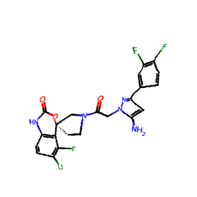 Nc1cc(-c2ccc(F)c(F)c2)nn1CC(=O)N1CC[C@@]2(C1)OC(=O)Nc1ccc(Cl)c(F)c12